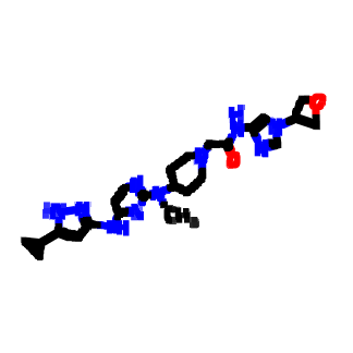 CN(c1nccc(Nc2cc(C3CC3)[nH]n2)n1)C1CCN(CC(=O)Nc2cn(C3COC3)cn2)CC1